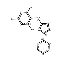 Cc1cc(C)c([Se]c2ncc(-c3ccccc3)o2)c(C)c1